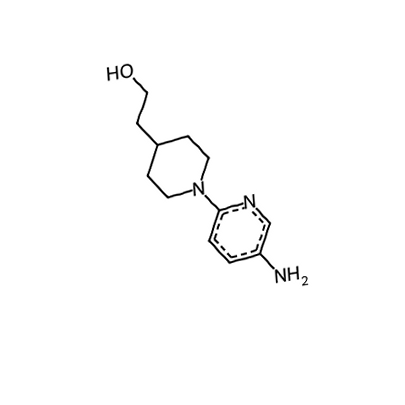 Nc1ccc(N2CCC(CCO)CC2)nc1